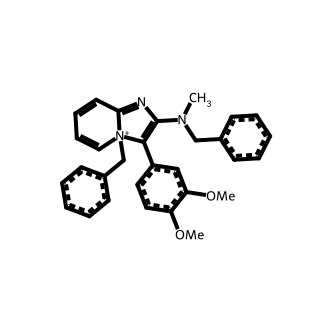 COc1ccc(C2=C(N(C)Cc3ccccc3)N=C3C=CC=C[N+]32Cc2ccccc2)cc1OC